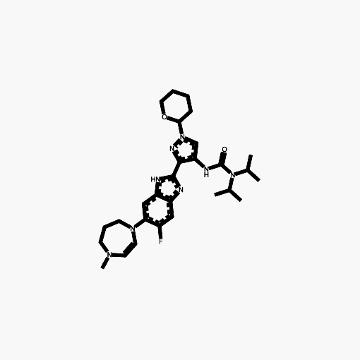 CC(C)N(C(=O)Nc1cn(C2CCCCO2)nc1-c1nc2cc(F)c(N3C=CN(C)CCC3)cc2[nH]1)C(C)C